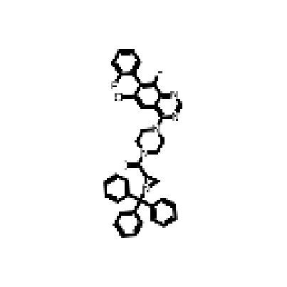 O=C(C1CN1C(c1ccccc1)(c1ccccc1)c1ccccc1)N1CCN(c2ncnc3c(F)c(-c4ccccc4F)c(Cl)cc23)CC1